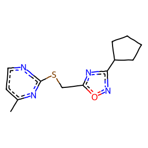 Cc1ccnc(SCc2nc(C3CCCC3)no2)n1